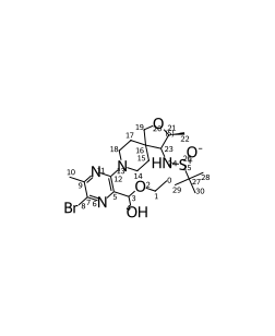 CCOC(O)c1nc(Br)c(C)nc1N1CCC2(CC1)CO[C@@H](C)C2N[S+]([O-])C(C)(C)C